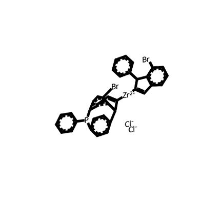 Brc1cccc2c1C(c1ccccc1)[C]([Zr+2][C]1=Cc3c4ccc(Br)c3C1c1ccc(cc1)P4c1ccccc1)=C2.[Cl-].[Cl-]